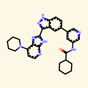 O=C(Nc1cncc(-c2ccc3[nH]nc(-c4nc5c(N6CCCCC6)ccnc5[nH]4)c3c2)c1)C1CCCCC1